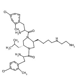 Cc1cc(Cl)ccc1CC(N)C(=O)N1C[C@H](CCCCNCCN)N(C(=O)C(N)Cc2ccc(Cl)cc2C)C[C@H]1CC(C)C